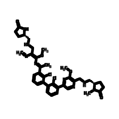 C=N/C(CNC[C@@H]1CCC(=O)N1)=C(\N=C(/C)c1cccc(-c2cccc(-c3cnc(CNC[C@@H]4CCC(=O)N4C)c(OC)n3)c2Cl)c1Cl)OC